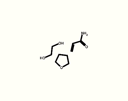 C1CCOC1.C=CC(N)=O.OCCO